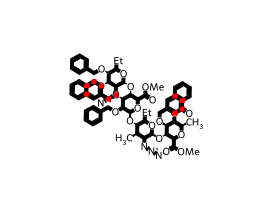 CCC1O[C@@H](O[C@H]2C(C(=O)OC)O[C@H](C)C(OC(=O)c3ccccc3)[C@@H]2OCc2ccccc2)C(N=[N+]=[N-])[C@@H](C)[C@@H]1O[C@@H]1OC(C(=O)OC)[C@@H](O[C@H]2OC(CC)[C@@H](OCc3ccccc3)[C@@H](OCc3ccccc3)C2N=[N+]=[N-])[C@@H](OCc2ccccc2)C1OCc1ccccc1